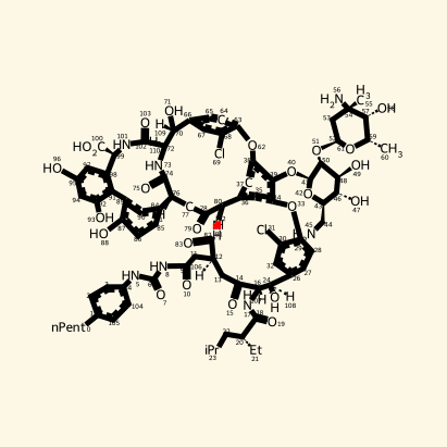 CCCCCc1ccc(NC(=O)NC(=O)C[C@@H]2CC(=O)[C@H](NC(=O)[C@H](CC)CC(C)C)[C@H](O)c3ccc(c(Cl)c3)Oc3cc4cc(c3O[C@@H]3O[C@H](CN)[C@@H](O)[C@H](O)[C@H]3O[C@H]3C[C@](C)(N)[C@H](O)[C@H](C)O3)Oc3ccc(cc3Cl)[C@@H](O)[C@@H]3NC(=O)[C@H](CC(=O)[C@@H]4NC2=O)c2ccc(O)c(c2)-c2c(O)cc(O)cc2[C@@H](C(=O)O)NC3=O)cc1